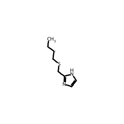 CC[CH]CSCc1ncc[nH]1